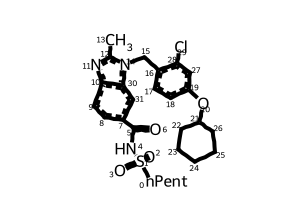 CCCCCS(=O)(=O)NC(=O)c1ccc2nc(C)n(Cc3ccc(OC4CCCCC4)cc3Cl)c2c1